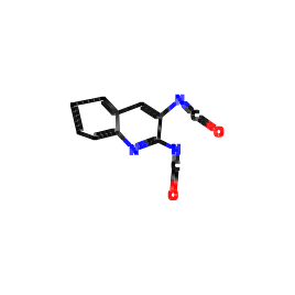 O=C=Nc1cc2ccccc2nc1N=C=O